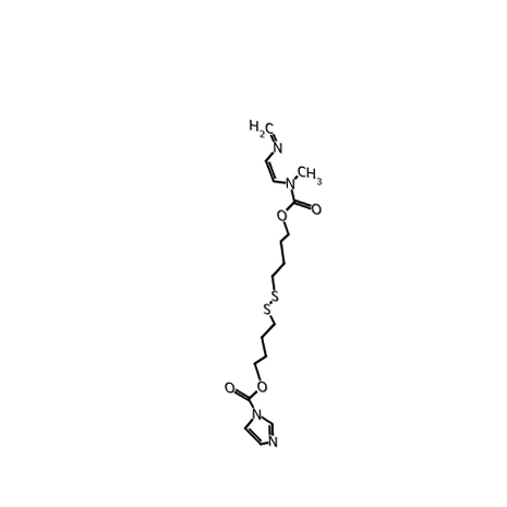 C=N/C=C\N(C)C(=O)OCCCCSSCCCCOC(=O)n1ccnc1